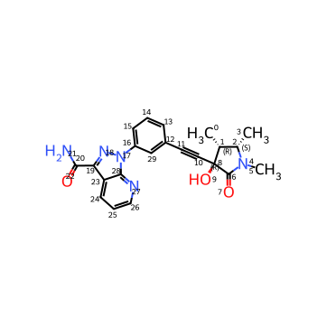 C[C@@H]1[C@H](C)N(C)C(=O)[C@]1(O)C#Cc1cccc(-n2nc(C(N)=O)c3cccnc32)c1